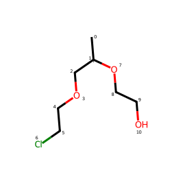 C[C](COCCCl)OCCO